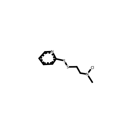 CN(Cl)CCSSc1ccccn1